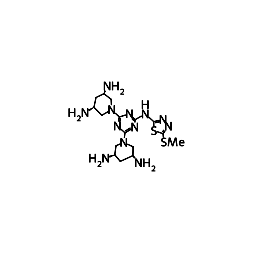 CSc1nnc(Nc2nc(N3C[C@H](N)C[C@H](N)C3)nc(N3C[C@H](N)C[C@H](N)C3)n2)s1